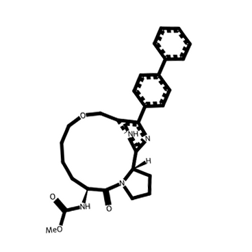 COC(=O)N[C@H]1CCCCOCc2[nH]c(nc2-c2ccc(-c3ccccc3)cc2)[C@@H]2CCCN2C1=O